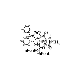 CCCCCN(CCCCC)C(=O)N1CCN(C(=O)N(c2ccccc2)c2ccccc2)C(C(=O)N(C)CCN(C)C(=O)OC(C)(C)C)C1